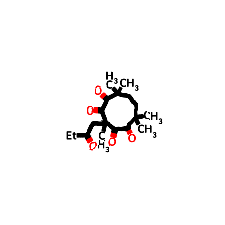 CCC(=O)CC1(C)C(=O)C(=O)C(C)(C)CCC(C)(C)C(=O)C1=O